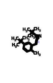 Cc1ccc(C(C)(C)C)cc1/C=C1N=C/1C(C)(C)C